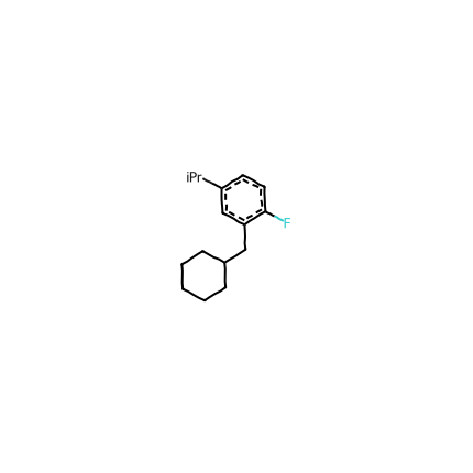 CC(C)c1ccc(F)c(CC2CCCCC2)c1